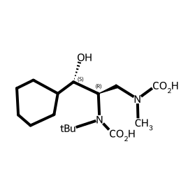 CN(C[C@H]([C@@H](O)C1CCCCC1)N(C(=O)O)C(C)(C)C)C(=O)O